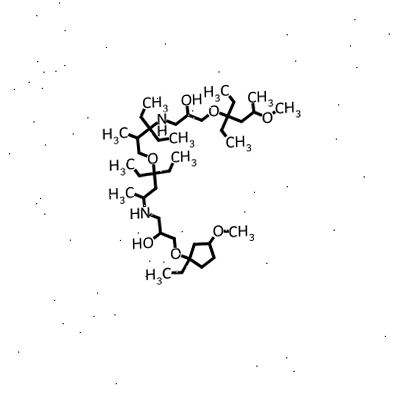 CCC(CC)(CC(C)NCC(O)COC1(CC)CCC(OC)C1)OCC(C)C(CC)(CC)NCC(O)COC(CC)(CC)CC(C)OC